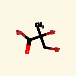 CC(Br)(CBr)C(=O)Br